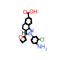 Nc1ccc(N2N=C3c4ccc(C(=O)O)cc4CC[C@H]3[C@H]2c2ccco2)cc1Cl